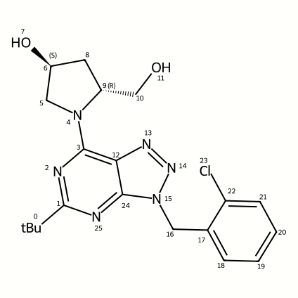 CC(C)(C)c1nc(N2C[C@@H](O)C[C@@H]2CO)c2nnn(Cc3ccccc3Cl)c2n1